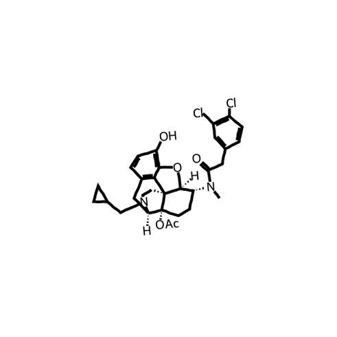 CC(=O)O[C@@]12CC[C@@H](N(C)C(=O)Cc3ccc(Cl)c(Cl)c3)[C@@H]3Oc4c(O)ccc5c4[C@@]31CCN(CC1CC1)[C@@H]2C5